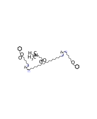 CN(C)CCCC(=O)OC(CCCCCCCC/C=C\C1(/C=C\CCCCCOCc2ccccc2)CC1)CCCCCCCC/C=C\C1(/C=C\CCCCC(=O)OCc2ccccc2)CC1